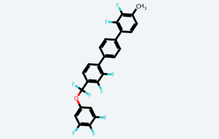 Cc1ccc(-c2ccc(-c3ccc(C(F)(F)Oc4cc(F)c(F)c(F)c4)c(F)c3F)cc2)c(F)c1F